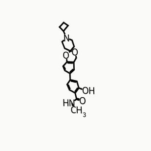 CNC(=O)c1ccc(-c2ccc3c(c2)COC2(CCN(C4CCC4)CC2)O3)cc1O